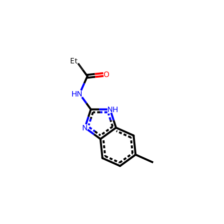 CCC(=O)Nc1nc2ccc(C)cc2[nH]1